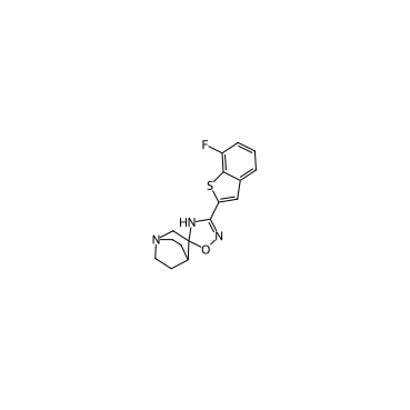 Fc1cccc2cc(C3=NOC4(CN5CCC4CC5)N3)sc12